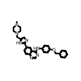 CN1CCN(Cc2cnc(-c3ccc4ncnc(Nc5ccc(OCc6ccccc6)cc5)c4c3)[nH]2)CC1